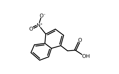 O=C(O)Cc1ccc([N+](=O)[O-])c2ccccc12